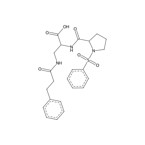 O=C(CCc1ccccc1)NCC(NC(=O)C1CCCN1S(=O)(=O)c1ccccc1)C(=O)O